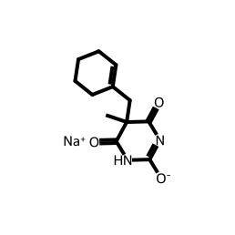 CC1(CC2=CCCCC2)C(=O)N=C([O-])NC1=O.[Na+]